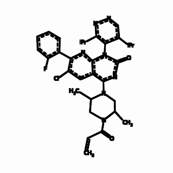 C=CC(=O)N1CC(C)N(c2nc(=O)n(-c3c(C(C)C)cnnc3C(C)C)c3nc(-c4ccccc4F)c(Cl)cc23)CC1C